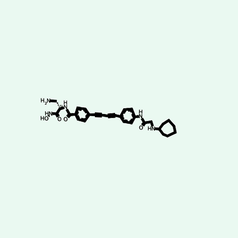 NC[C@H](NC(=O)c1ccc(C#CC#Cc2ccc(NC(=O)CNC3CCCCCC3)cc2)cc1)C(=O)NO